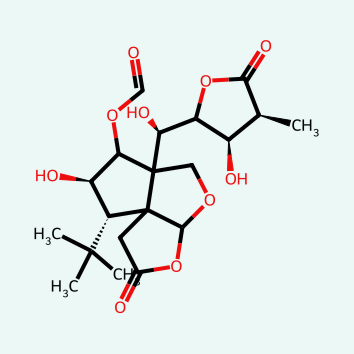 C[C@@H]1C(=O)OC([C@H](O)C23COC4OC(=O)CC42[C@H](C(C)(C)C)[C@@H](O)C3OC=O)[C@@H]1O